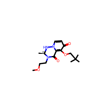 COCCN1C(=O)c2c(OCC(C)(C)C)c(=O)ccn2N[C@@H]1C